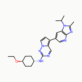 CCO[C@H]1CC[C@H](Nc2ncc3c(-c4cnc5nc(C)n(C(C)C)c5c4)ccn3n2)CC1